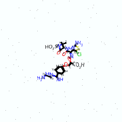 CC1(C)[C@H](NC(=O)/C(=N\OC(COc2ccc(C(=N)NCCN)cc2)C(=O)O)c2nc(N)sc2Cl)C(=O)N1S(=O)(=O)O